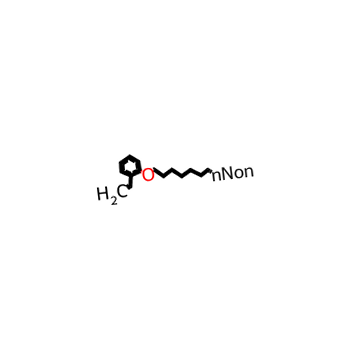 C=Cc1ccccc1OCCCCCCCCCCCCCCCC